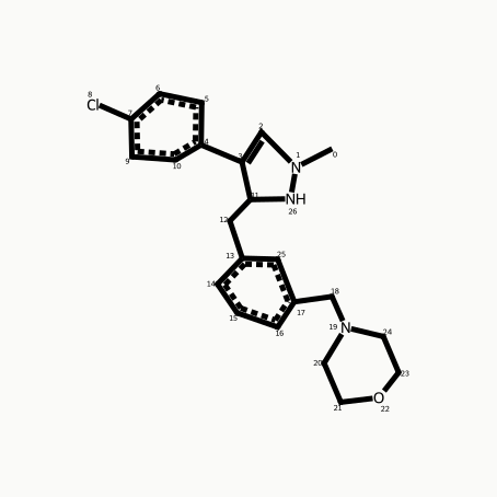 CN1C=C(c2ccc(Cl)cc2)C(Cc2cccc(CN3CCOCC3)c2)N1